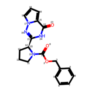 O=C(OCc1ccccc1)N1CCC[C@H]1c1nn2cccc2c(=O)[nH]1